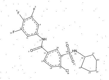 O=C(Nc1cc(F)c(F)c(F)c1)c1ccc(Cl)c(S(=O)(=O)NC2CCCCC2)c1